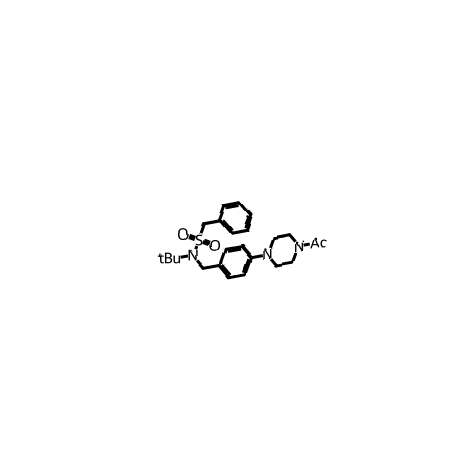 CC(=O)N1CCN(c2ccc(CN(C(C)(C)C)S(=O)(=O)Cc3ccccc3)cc2)CC1